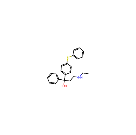 CCNCCC(O)(c1ccccc1)c1ccc(Sc2ccccc2)cc1